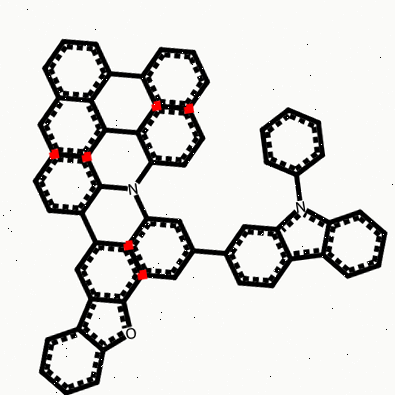 c1ccc(-c2cccc3cccc(-c4ccccc4N(c4cccc(-c5ccc6c7ccccc7n(-c7ccccc7)c6c5)c4)c4ccccc4-c4ccc5oc6ccccc6c5c4)c23)cc1